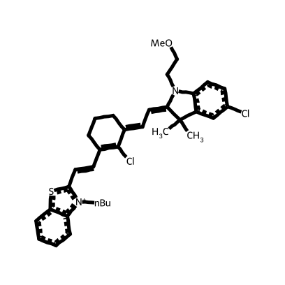 CCCC[n+]1c(/C=C/C2=C(Cl)C(=C/C=C3/N(CCOC)c4ccc(Cl)cc4C3(C)C)/CCC2)sc2ccccc21